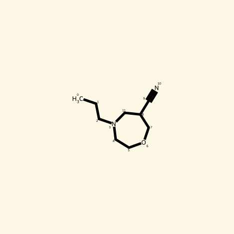 CCCN1CCOCC(C#N)C1